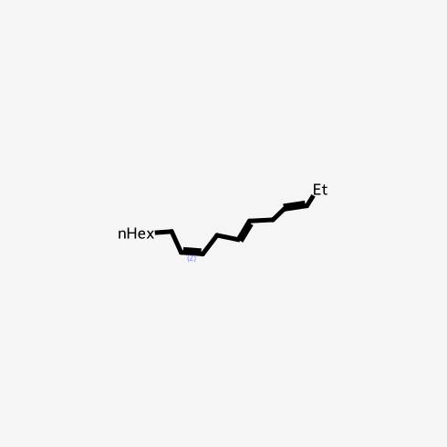 CCC=CCC=CC/C=C\CCCCCCC